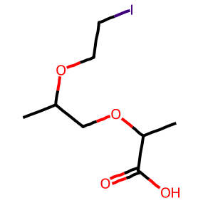 CC(COC(C)C(=O)O)OCCI